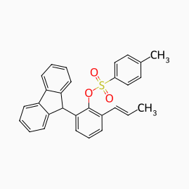 CC=Cc1cccc(C2c3ccccc3-c3ccccc32)c1OS(=O)(=O)c1ccc(C)cc1